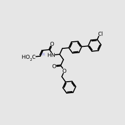 O=C(O)/C=C/C(=O)NC(CC(=O)OCc1ccccc1)Cc1ccc(-c2cccc(Cl)c2)cc1